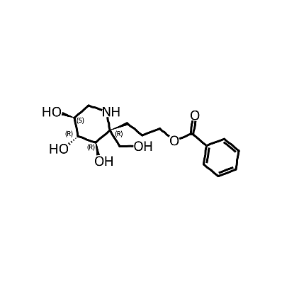 O=C(OCCC[C@]1(CO)NC[C@H](O)[C@@H](O)[C@@H]1O)c1ccccc1